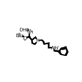 CC(C)(C)OC(NC=O)C1CCN(CCCCNCc2ccccc2)C1